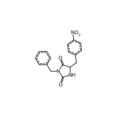 O=C1NC(Cc2ccc([N+](=O)[O-])cc2)C(=O)N1Cc1ccccc1